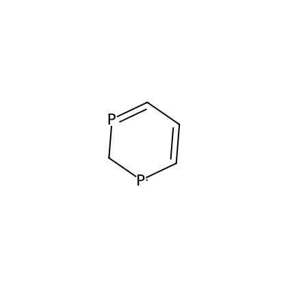 C1=C[P]CP=C1